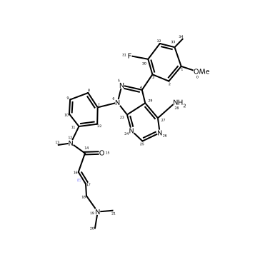 COc1cc(-c2nn(-c3cccc(N(C)C(=O)/C=C/CN(C)C)c3)c3ncnc(N)c23)c(F)cc1C